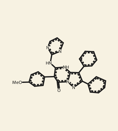 COc1ccc(-c2c(Nc3ncccn3)[nH]c3c(-c4ccccc4)c(-c4ccccc4)nn3c2=O)cc1